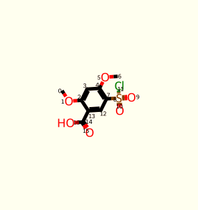 COc1cc(OC)c(S(=O)(=O)Cl)cc1C(=O)O